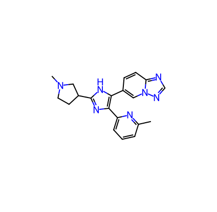 Cc1cccc(-c2nc(C3CCN(C)C3)[nH]c2-c2ccc3ncnn3c2)n1